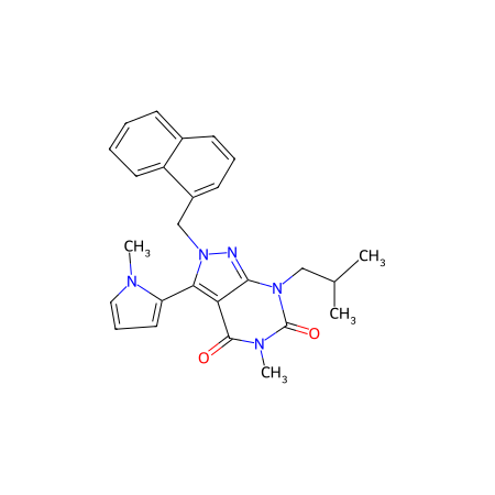 CC(C)Cn1c(=O)n(C)c(=O)c2c(-c3cccn3C)n(Cc3cccc4ccccc34)nc21